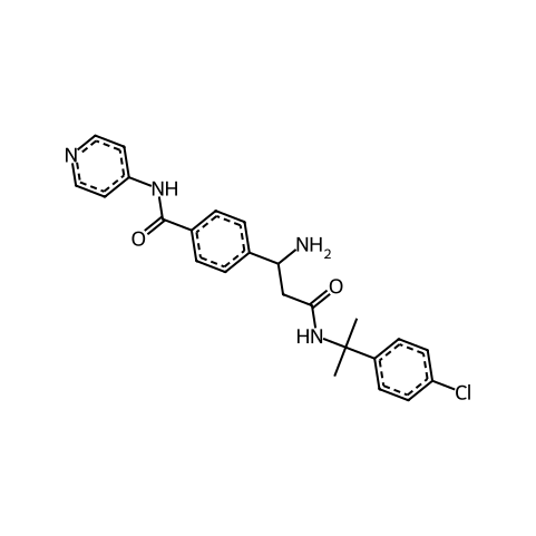 CC(C)(NC(=O)CC(N)c1ccc(C(=O)Nc2ccncc2)cc1)c1ccc(Cl)cc1